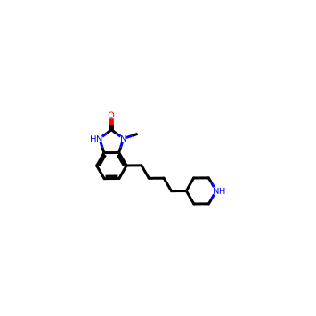 Cn1c(=O)[nH]c2cccc(CCCCC3CCNCC3)c21